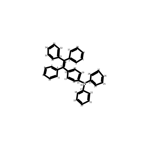 c1ccc(C(=C(c2ccccc2)c2ccc(N(c3ccccc3)c3ccccc3)cc2)c2ccccc2)cc1